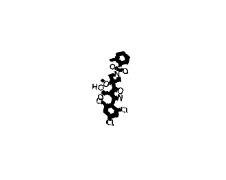 COC1(c2onc(-c3c(Cl)cc(Cl)cc3Cl)c2C(=O)O)CN(S(=O)(=O)c2ccccc2C)C1